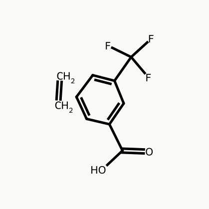 C=C.O=C(O)c1cccc(C(F)(F)F)c1